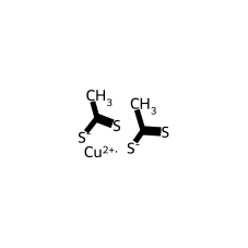 CC(=S)[S-].CC(=S)[S-].[Cu+2]